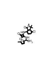 BC(Nc1c(Nc2ccc(Cl)c3c2C(=O)N(C)C3(C)C)c(=O)c1=O)c1ccc(C)o1